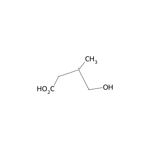 C[C](CO)CC(=O)O